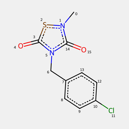 Cn1sc(=O)n(Cc2ccc(Cl)cc2)c1=O